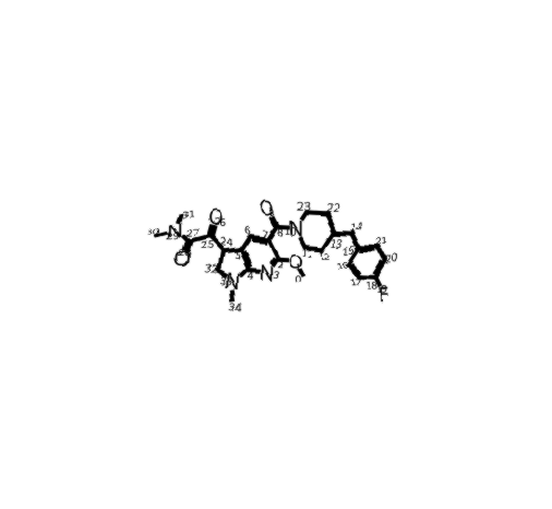 COc1nc2c(cc1C(=O)N1CCC(Cc3ccc(F)cc3)CC1)C(C(=O)C(=O)N(C)C)CN2C